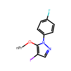 CCCOc1c(I)cnn1-c1ccc(F)cc1